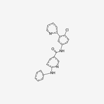 O=C(Nc1ccc(Cl)c(-c2ccccn2)c1)c1ccc(Nc2ccccc2)nc1